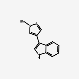 CC(C)(C)n1cc(-c2c[nH]c3ccccc23)cn1